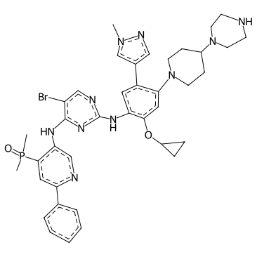 Cn1cc(-c2cc(Nc3ncc(Br)c(Nc4cnc(-c5ccccc5)cc4P(C)(C)=O)n3)c(OC3CC3)cc2N2CCC(N3CCNCC3)CC2)cn1